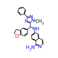 Cn1nc(-c2ccccc2)nc1C(Nc1ccc2c(N)nccc2c1)c1ccc2c(c1)CCO2